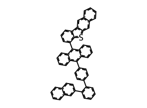 c1ccc(-c2ccc3ccccc3c2)c(-c2ccc(-c3c4ccccc4c(-c4cccc5c4sc4cc6ccccc6cc45)c4ccccc34)cc2)c1